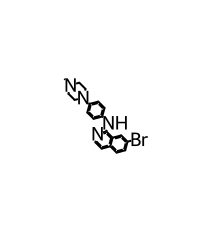 CN1CCN(c2ccc(Nc3nccc4ccc(Br)cc34)cc2)CC1